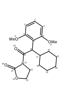 COc1cccc(OC)c1C(C(=O)N1CCOC1=O)C1CCCCC1